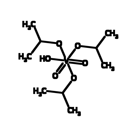 CC(C)[O][V](=[O])(=[O])([OH])([O]C(C)C)[O]C(C)C